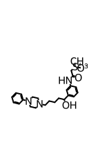 C[S+]([O-])CC(=O)Nc1cccc(C(O)CCCCN2CCN(c3ccccc3)CC2)c1